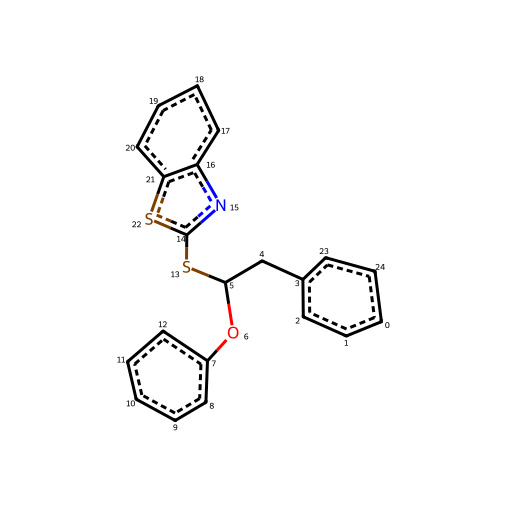 c1ccc(CC(Oc2ccccc2)Sc2nc3ccccc3s2)cc1